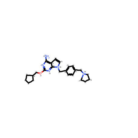 Nc1nc(OCC2CCCC2)nc2c1ccn2Cc1ccc(CN2CCCC2)cc1